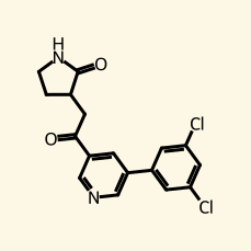 O=C(CC1CCNC1=O)c1cncc(-c2cc(Cl)cc(Cl)c2)c1